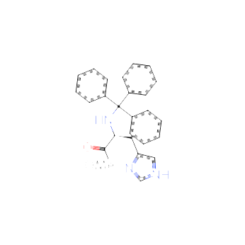 COC(=O)[C@H](Cc1c[nH]cn1)NC(c1ccccc1)(c1ccccc1)c1ccccc1